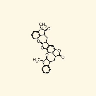 CN1C(=O)C(CC2C(=O)Oc3cc4c(cc32)OC(=O)C4CC2C(=O)N(C)c3ccccc32)c2ccccc21